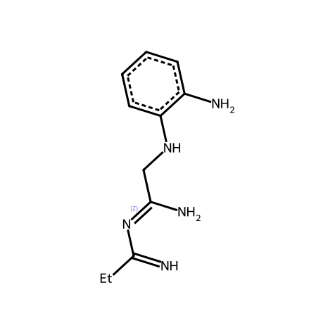 CCC(=N)/N=C(\N)CNc1ccccc1N